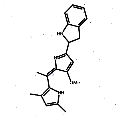 COC1=CC(C2Cc3ccccc3N2)=N/C1=C(\C)c1[nH]c(C)cc1C